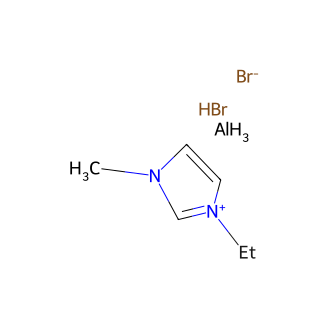 Br.CC[n+]1ccn(C)c1.[AlH3].[Br-]